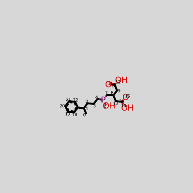 CC(CCCP(O)CC(CC(=O)O)CC(=O)O)c1ccccc1